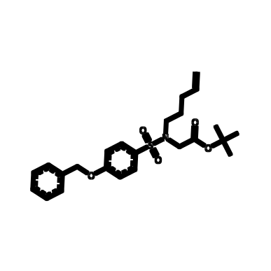 C=CCCCN(CC(=O)OC(C)(C)C)S(=O)(=O)c1ccc(OCc2ccccc2)cc1